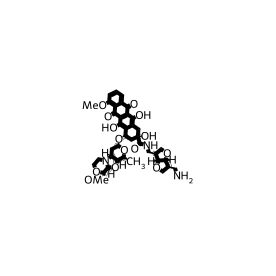 COc1cccc2c1C(=O)c1c(O)c3c(c(O)c1C2=O)C[C@@](O)(C(=O)NC[C@H]1CO[C@@H]2[C@@H](CN)CO[C@H]12)C[C@@H]3O[C@H]1C[C@H]2[C@H](O[C@@H]3[C@@H](OC)OCCN32)[C@H](C)O1